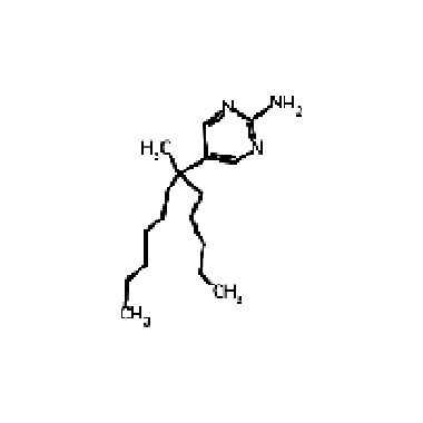 CCCCCCC(C)(CCCCC)c1cnc(N)nc1